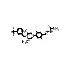 C[C@@H]1CN(c2cc(F)c(/C=N/NC(N)=S)cc2F)C[C@H](C)N1Cc1cccc(C(F)(F)F)c1